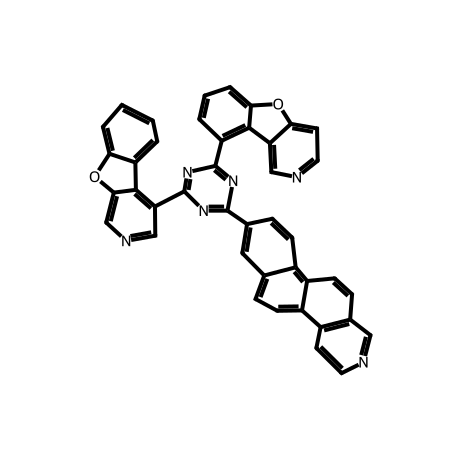 c1ccc2c(c1)oc1cncc(-c3nc(-c4ccc5c(ccc6c7ccncc7ccc56)c4)nc(-c4cccc5oc6ccncc6c45)n3)c12